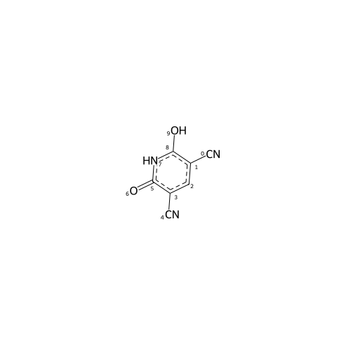 N#Cc1cc(C#N)c(=O)[nH]c1O